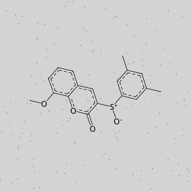 COc1cccc2cc([S+]([O-])c3cc(C)cc(C)c3)c(=O)oc12